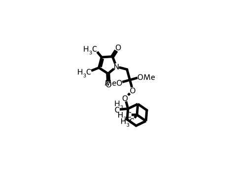 COC(CN1C(=O)C(C)=C(C)C1=O)(OC)OOC1(C)CCC2CC1C2(C)C